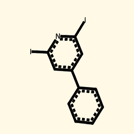 Ic1cc(-c2ccccc2)cc(I)n1